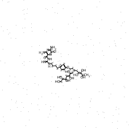 C[C@@H](O)[C@H](O)[C@@H](O)CN(CCOc1ccc(CCCCNC(=N)NC(=O)c2nc(Cl)c(N)nc2N)cc1)C[C@H](O)C(O)=C[C@H](O)[C@H](O)CO